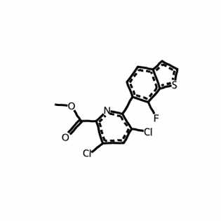 COC(=O)c1nc(-c2ccc3ccsc3c2F)c(Cl)cc1Cl